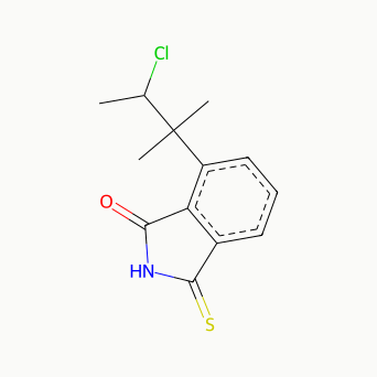 CC(Cl)C(C)(C)c1cccc2c1C(=O)NC2=S